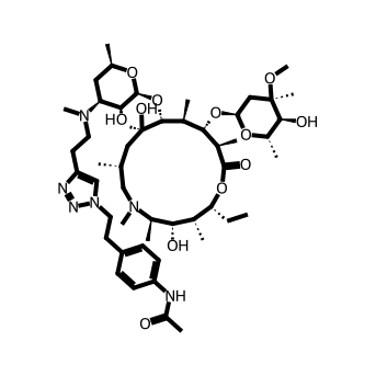 CC[C@H]1OC(=O)[C@H](C)[C@@H](O[C@H]2C[C@@](C)(OC)[C@@H](O)[C@H](C)O2)[C@H](C)[C@@H](O[C@@H]2O[C@H](C)C[C@H](N(C)CCc3cn(CCc4ccc(NC(C)=O)cc4)nn3)[C@H]2O)[C@](C)(O)C[C@@H](C)CN(C)[C@H](C)[C@@H](O)[C@H]1C